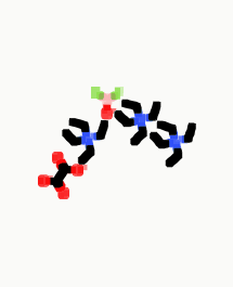 CC[N+](CC)(CC)CC.CC[N+](CC)(CC)CC.CC[N+](CC)(CC)CC.O=C([O-])C(=O)[O-].[O-]B(F)F